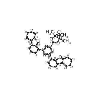 CC1(C)OB(c2nc(-c3cccc4c3oc3ccccc34)nc(-c3cccc4c3oc3ccccc34)n2)OC1(C)C